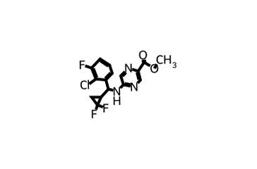 COC(=O)c1cnc(NC(c2cccc(F)c2Cl)C2CC2(F)F)cn1